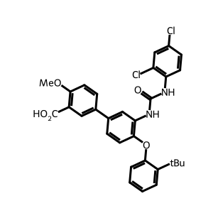 COc1ccc(-c2ccc(Oc3ccccc3C(C)(C)C)c(NC(=O)Nc3ccc(Cl)cc3Cl)c2)cc1C(=O)O